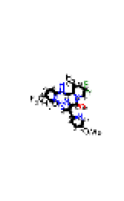 COc1ccc(-c2cn(C)nc2C(=O)N2CC(F)(F)C[C@@H](C)C2CNc2ccc(C(F)(F)F)cn2)nc1